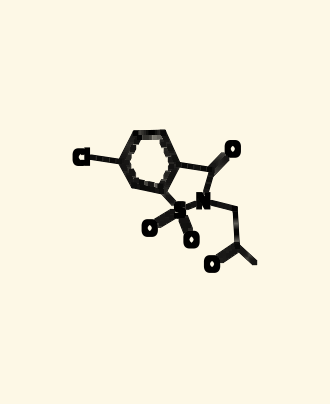 CC(=O)CN1C(=O)c2ccc(Cl)cc2S1(=O)=O